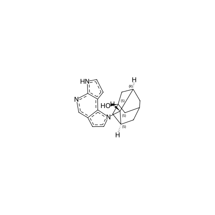 O[C@]12CC3C[C@H](C1)[C@@H](n1ccc4cnc5[nH]ccc5c41)[C@@H](C3)C2